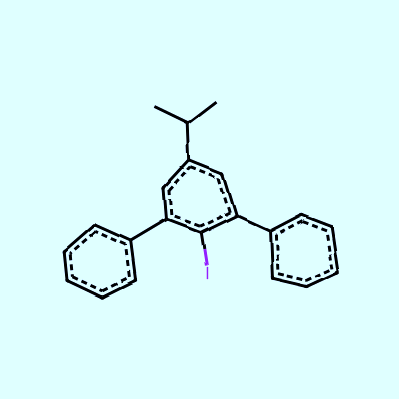 CC(C)c1cc(-c2ccccc2)c(I)c(-c2ccccc2)c1